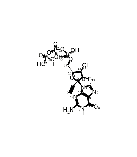 C#C[C@@]1(n2cnc3c(=O)[nH]c(N)nc32)O[C@H](COP(=O)(O)OP(=O)(O)OP(=O)(O)O)[C@@H](O)[C@H]1F